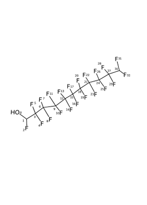 OC(F)C(F)(F)C(F)(F)C(F)(F)C(F)(F)C(F)(F)C(F)(F)C(F)(F)C(F)(F)C(F)(F)C(F)F